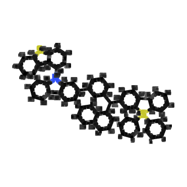 c1ccc(S2(c3ccccc3)c3ccccc3-c3ccc(C(c4cccc(-c5ccc6c7ccccc7n(-c7cccc8sc9ccccc9c78)c6c5)c4)c4cccc5ccccc45)cc32)cc1